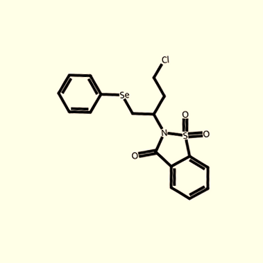 O=C1c2ccccc2S(=O)(=O)N1C(CCCl)C[Se]c1ccccc1